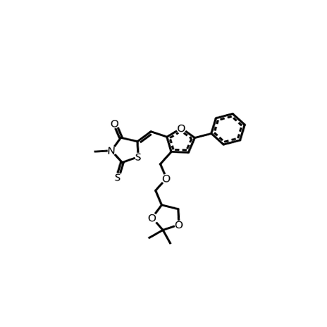 CN1C(=O)/C(=C/c2oc(-c3ccccc3)cc2COCC2COC(C)(C)O2)SC1=S